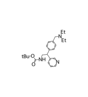 CCN(CC)Cc1ccc(C(CNC(=O)OC(C)(C)C)c2cccnc2)cc1